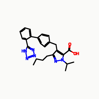 CCCCc1nn(C(C)C)c(C(=O)O)c1Cc1ccc(-c2ccccc2-c2nnn[nH]2)cc1